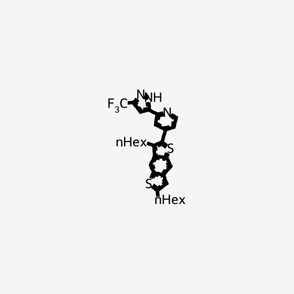 CCCCCCc1cc2cc3sc(-c4ccnc(-c5cc(C(F)(F)F)n[nH]5)c4)c(CCCCCC)c3cc2s1